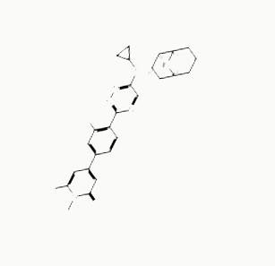 Cn1c(F)cc(-c2ccc(-c3ncc(N(C4CC4)[C@H]4C[C@]5(C)CCC[C@@](C)(N5)[C@H]4F)nn3)c(O)c2)cc1=O